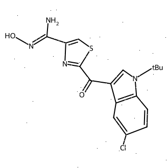 CC(C)(C)n1cc(C(=O)c2nc(C(N)=NO)cs2)c2cc(Cl)ccc21